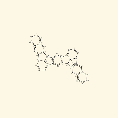 CC12C3=CC=CC1c1cc4ccccc4cc1N2c1cc2c(cc13)N1c3cc4ccccc4cc3C3C=CC=C2C31